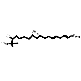 CCCCCC=CCC=CCCCCCCCCCC(CC)C(C)(C)CCCCCCCC.N